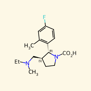 CCN(C)C[C@@H]1CCN(C(=O)O)[C@H]1c1ccc(F)cc1C